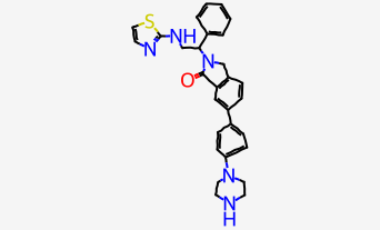 O=C1c2cc(-c3ccc(N4CCNCC4)cc3)ccc2CN1C(CNc1nccs1)c1ccccc1